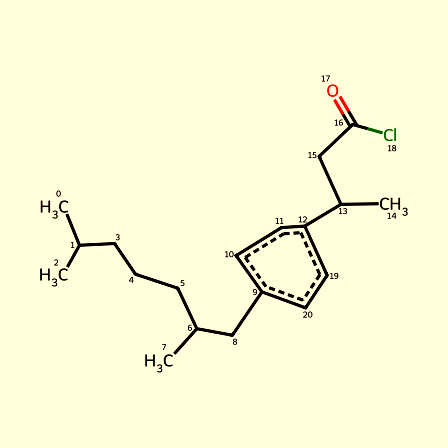 CC(C)CCCC(C)Cc1ccc(C(C)CC(=O)Cl)cc1